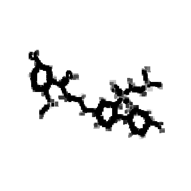 COc1ccc(Cl)cc1C(=O)NCCc1ccc(-c2ccc(Cl)cc2)c(S(=O)(=O)N=CN(C)C)c1